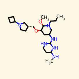 CCCN1CC(NC2NCCC(NC)N2)CC(OC[C@@H]2CCN(C3CCC3)C2)C1OC